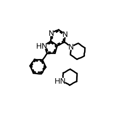 C1CCNCC1.c1ccc(-c2cc3c(N4CCCCC4)ncnc3[nH]2)cc1